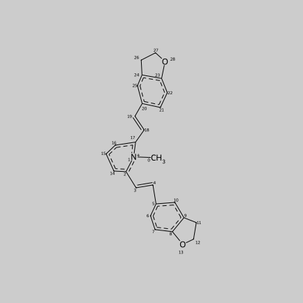 C[n+]1c(/C=C/c2ccc3c(c2)CCO3)cccc1/C=C/c1ccc2c(c1)CCO2